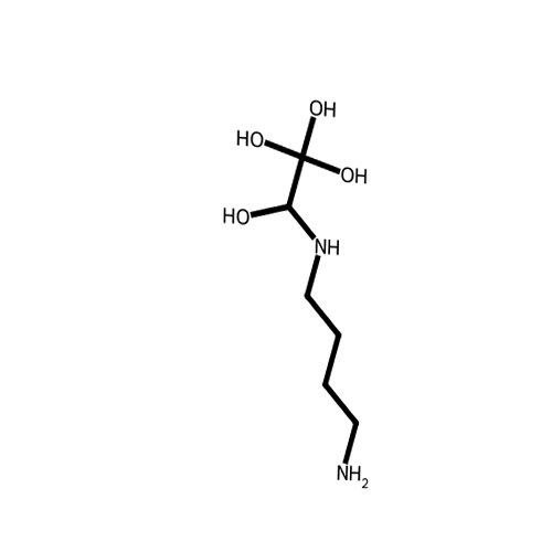 NCCCCNC(O)C(O)(O)O